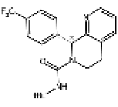 CC(C)(C)NC(=O)N1CCc2cccnc2[C@H]1c1ccc(C(F)(F)F)cc1